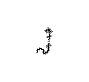 CC/C=C\C/C=C\C/C=C\C/C=C\CC=C=CCCC(=O)NCCSSCCNC(=O)CCNC(=O)C(C)C(C)(C)COC